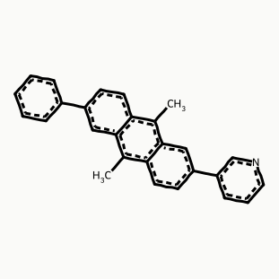 Cc1c2ccc(-c3cccnc3)cc2c(C)c2ccc(-c3ccccc3)cc12